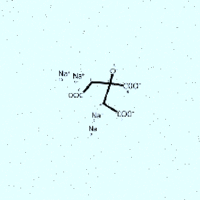 O=C([O-])CC([O-])(CC(=O)[O-])C(=O)[O-].[Na+].[Na+].[Na+].[Na+]